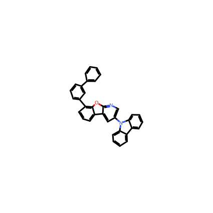 c1ccc(-c2cccc(-c3cccc4c3oc3ncc(-n5c6ccccc6c6ccccc65)cc34)c2)cc1